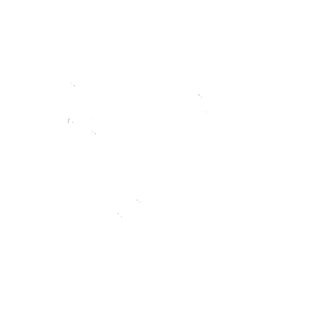 C=CC(=O)Nc1ccc(-c2ccc(N)c(C(=N)N)c2-c2ccc(OC3=NN(C)CC3)cc2)cc1